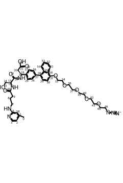 Cc1ccnc(NCCCC(=O)N[C@@H](CO)C(=O)N[C@@H](CC(=O)O)c2ccc(-c3ccc(OCCOCCOCCOCCOCCN=[N+]=[N-])c4ccccc34)cc2)c1